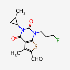 Cc1c(C=O)sc2c1c(=O)n([C@H]1C[C@@H]1C)c(=O)n2CCCF